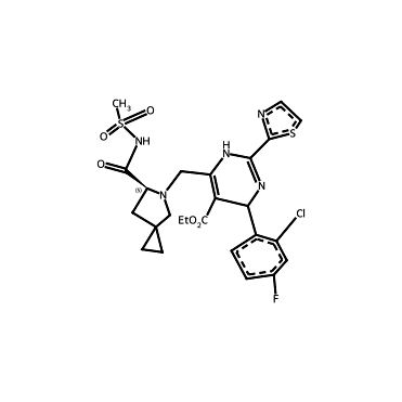 CCOC(=O)C1=C(CN2CC3(CC3)C[C@H]2C(=O)NS(C)(=O)=O)NC(c2nccs2)=NC1c1ccc(F)cc1Cl